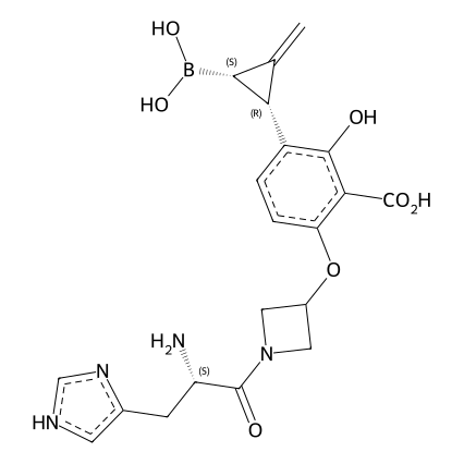 C=C1[C@@H](B(O)O)[C@H]1c1ccc(OC2CN(C(=O)[C@@H](N)Cc3c[nH]cn3)C2)c(C(=O)O)c1O